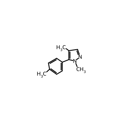 Cc1ccc(-c2c(C)cnn2C)cc1